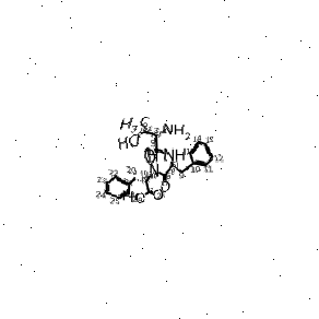 C[C@@H](O)[C@H](N)C(=O)N[C@@H](Cc1ccccc1)C(=O)N[C@@H](Cc1ccccc1)C(=O)O